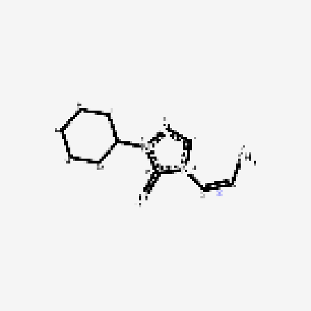 C/C=C\n1cnn(C2CCCCC2)c1=O